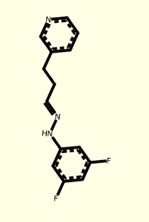 Fc1cc(F)cc(NN=CCCc2cccnc2)c1